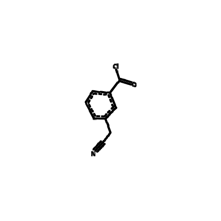 N#CCc1cccc(C(=O)Cl)c1